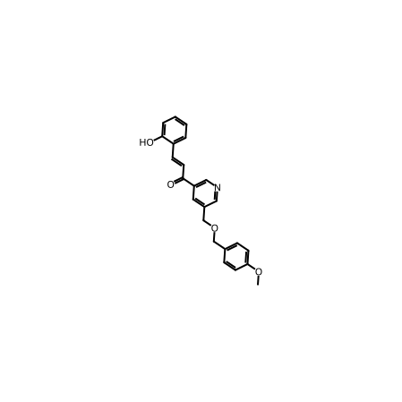 COc1ccc(COCc2cncc(C(=O)/C=C/c3ccccc3O)c2)cc1